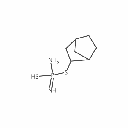 N=P(N)(S)SC1CC2CCC1C2